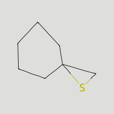 C1CCC2(CC1)CS2